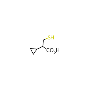 O=C(O)C(CS)C1CC1